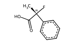 C[C@](F)(C(=O)O)c1ccccc1